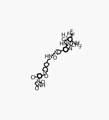 Cc1nc(N[C@H](C)c2cc(N)cc(C(F)(F)F)c2)c2cc(C3CCN(CC(=O)NCCC4CCC5(CC4)CCN(C(=O)c4ccc(Cl)c(N6CCC(=O)NC6=O)c4)CC5)CC3)ccc2n1